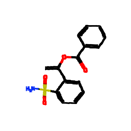 C=C(OC(=O)c1ccccc1)c1ccccc1S(N)(=O)=O